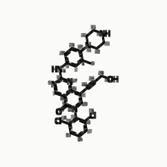 Cc1cc(Nc2ncc3c(=O)n(-c4c(Cl)cccc4Cl)cc(C#CCO)c3n2)ccc1N1CCNCC1